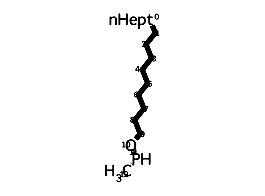 CCCCCCCCCCCCCCCCOPC